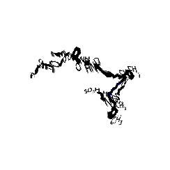 Cc1ccc2c(c1)C(C)(CCCCCC(=O)NCCNC(=O)c1cccc(OCC(N=[N+]=[N-])OCCOCC(=O)NCC#CC(C)C)c1)/C(=C/C=C/C=C/C1N(CCCS(=O)(=O)O)c3ccc(C)cc3C1(C)C)N2CCCS(=O)(=O)O